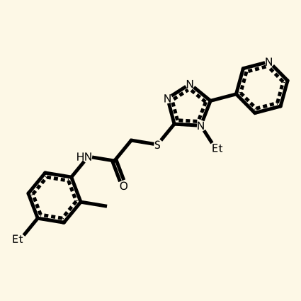 CCc1ccc(NC(=O)CSc2nnc(-c3cccnc3)n2CC)c(C)c1